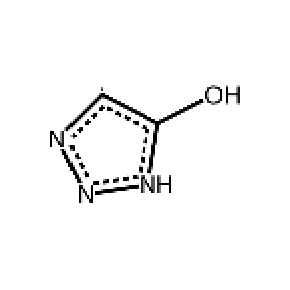 Oc1[c]nn[nH]1